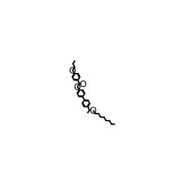 CCCCCCCCOC(C)c1ccc(-c2ccc(OC(=O)c3ccc(OCCC)cc3)cc2)cc1